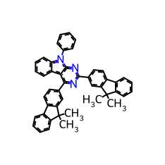 CC1(C)c2ccccc2-c2ccc(-c3nc(-c4ccc5c(c4)C(C)(C)c4ccccc4-5)c4c5ccccc5n(-c5ccccc5)c4n3)cc21